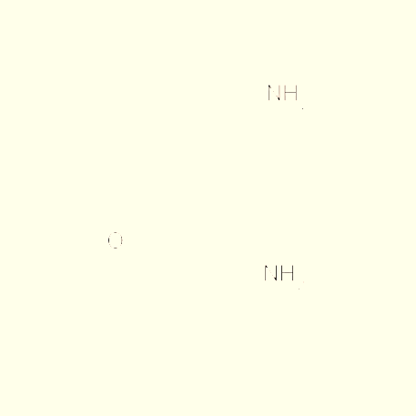 CC(=O)C(N)CCN